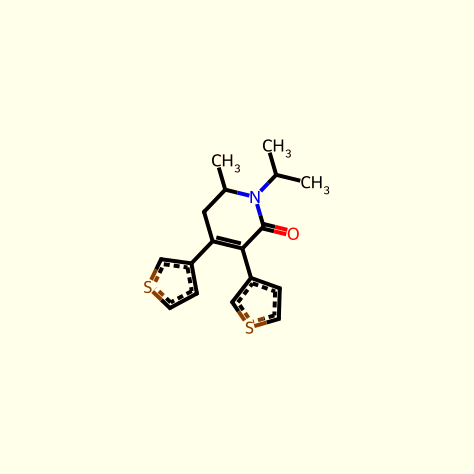 CC(C)N1C(=O)C(c2ccsc2)=C(c2ccsc2)CC1C